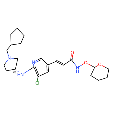 O=C(C=Cc1cnc(N[C@@H]2CCN(CC3CCCC3)C2)c(Cl)c1)NOC1CCCCO1